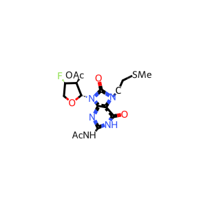 CSCCn1c(=O)n([C@@H]2OC[C@H](F)[C@H]2OC(C)=O)c2nc(NC(C)=O)[nH]c(=O)c21